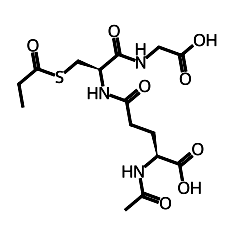 CCC(=O)SC[C@H](NC(=O)CC[C@H](NC(C)=O)C(=O)O)C(=O)NCC(=O)O